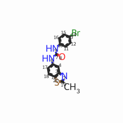 Cc1nc2cc(NC(=O)Nc3ccc(Br)cc3)ccc2s1